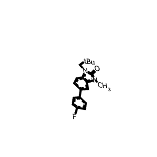 Cn1c(=O)n(CC(C)(C)C)c2ccc(-c3ccc(F)cc3)cc21